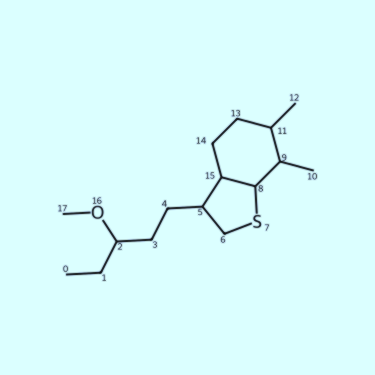 CCC(CCC1CSC2C(C)C(C)CCC12)OC